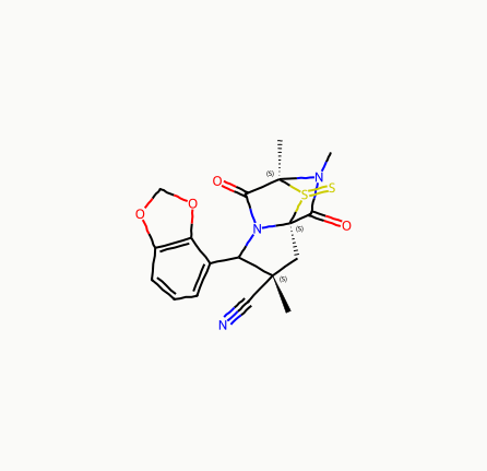 CN1C(=O)[C@@]23C[C@](C)(C#N)C(c4cccc5c4OCO5)N2C(=O)[C@]1(C)S3=S